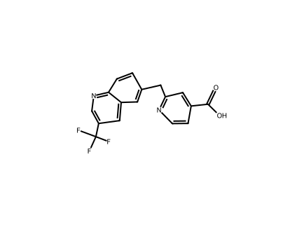 O=C(O)c1ccnc(Cc2ccc3ncc(C(F)(F)F)cc3c2)c1